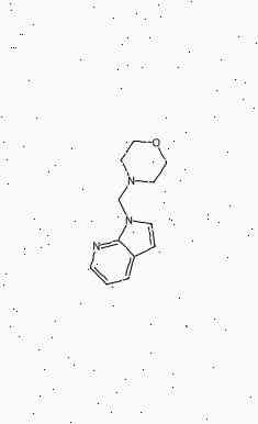 c1cnc2c(c1)ccn2CN1CCOCC1